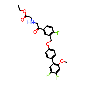 CCOC(=O)CNCC(=O)c1ccc(F)c(COc2ccc(-c3cc(F)c(F)cc3OC)cc2)c1